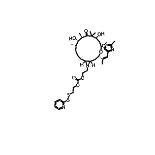 C/C(=C/c1csc(C)n1)[C@@H]1C[C@H]2[C@@H](CCC[C@H](C)[C@H](O)[C@@H](C)C(=O)C(C)(C)[C@@H](O)CC(=O)O1)N2CCOC(=O)OCCSSc1ccccn1